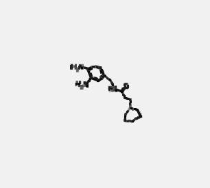 Nc1ccc(CNC(=O)CCC2CCCCC2)cc1N